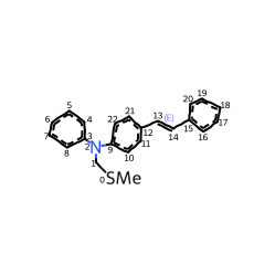 CSCN(c1ccccc1)c1ccc(/C=C/c2ccccc2)cc1